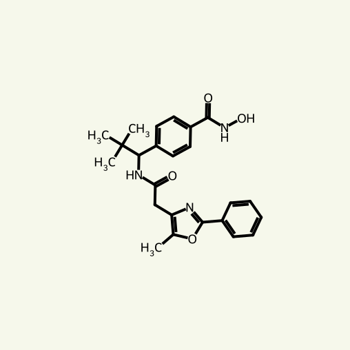 Cc1oc(-c2ccccc2)nc1CC(=O)NC(c1ccc(C(=O)NO)cc1)C(C)(C)C